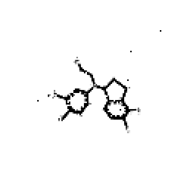 Cc1cc(N(CCO)C2CCc3c2ccc(F)c3Br)ccc1Cl